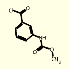 COC(=O)Nc1cccc(C(=O)Cl)c1